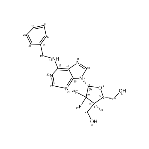 C[C@@]1(CO)[C@@H](CO)O[C@@H](n2cnc3c(NCc4ccccc4)ncnc32)C1(F)F